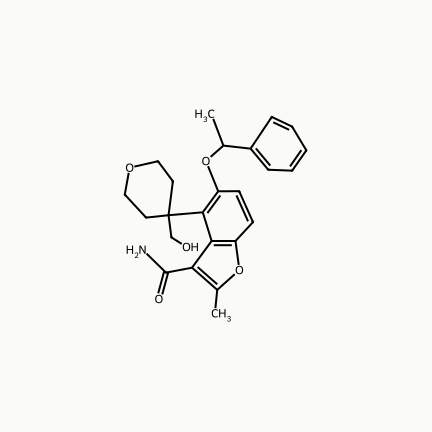 Cc1oc2ccc(OC(C)c3ccccc3)c(C3(CO)CCOCC3)c2c1C(N)=O